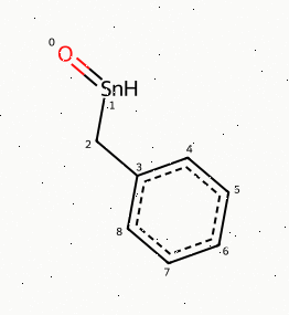 [O]=[SnH][CH2]c1ccccc1